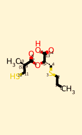 CCCSC[C@H](OC(=O)[C@H](C)CS)C(=O)O